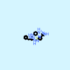 N[C@H]1CC[C@H](Nc2nc(Cc3ccccc3)cc(Nc3nc4ccc(-c5cn[nH]c5)nc4s3)n2)CC1